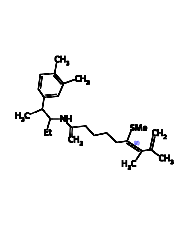 C=C(CCCC/C(SC)=C(\C)C(=C)C)NC(CC)C(C)c1ccc(C)c(C)c1